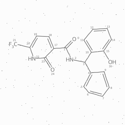 O=C(NC(c1ccccc1)c1ccccc1O)c1ccc(C(F)(F)F)[nH]c1=O